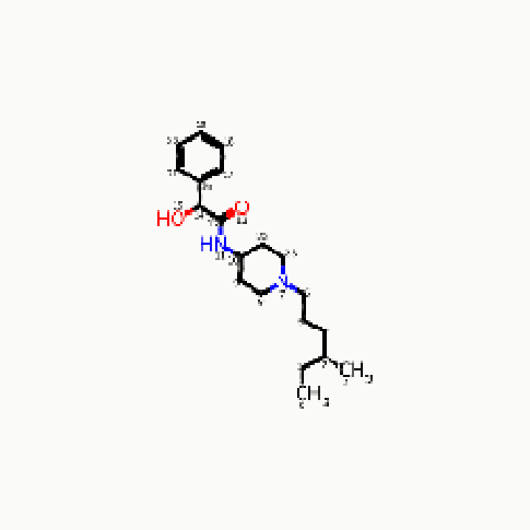 CC[C@H](C)CCCN1CCC(NC(=O)C(O)c2ccccc2)CC1